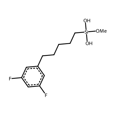 CO[Si](O)(O)CCCCCc1cc(F)cc(F)c1